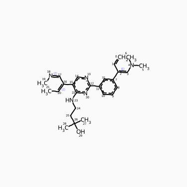 C=C/C(=C\N(C)C)c1cccc(-c2ncc(C(/C=N\C)=C/C)c(NCCC(C)(C)O)n2)c1